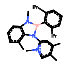 Cc1cc(N2B(c3c(C(C)C)cccc3C(C)C)N(C)c3cccc(C)c32)[n+](C)cc1C